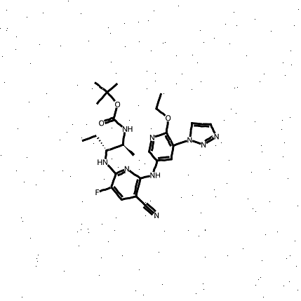 CCOc1ncc(Nc2nc(N[C@H](CC)[C@H](C)NC(=O)OC(C)(C)C)c(F)cc2C#N)cc1-n1ccnn1